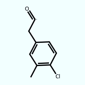 Cc1cc(C[C]=O)ccc1Cl